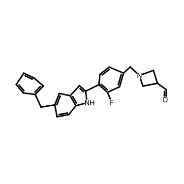 O=CC1CN(Cc2ccc(-c3cc4cc(Cc5ccccc5)ccc4[nH]3)c(F)c2)C1